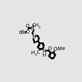 COc1ccccc1C(=O)Nc1ccc(C2CCN(CCN(C)C(=O)OC(C)(C)C)CC2)cc1C